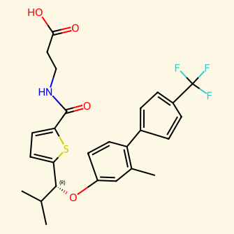 Cc1cc(O[C@@H](c2ccc(C(=O)NCCC(=O)O)s2)C(C)C)ccc1-c1ccc(C(F)(F)F)cc1